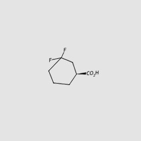 O=C(O)[C@H]1CCCC(F)(F)C1